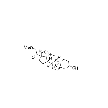 COCC(=O)[C@@]1(O)CC[C@H]2[C@@H]3CC=C4CC(O)CC[C@]4(C)[C@H]3CC[C@@]21C